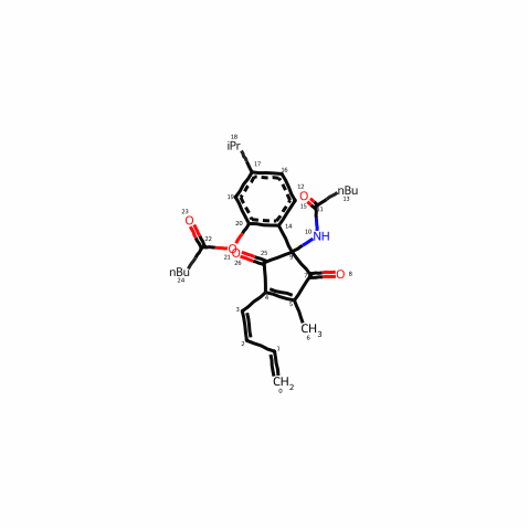 C=C/C=C\C1=C(C)C(=O)C(NC(=O)CCCC)(c2ccc(C(C)C)cc2OC(=O)CCCC)C1=O